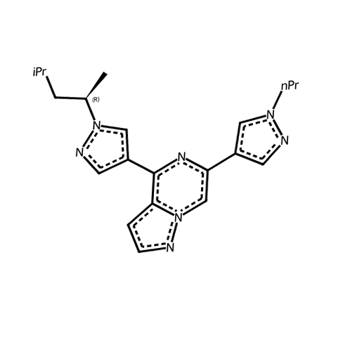 CCCn1cc(-c2cn3nccc3c(-c3cnn([C@H](C)CC(C)C)c3)n2)cn1